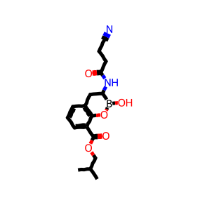 CC(C)COC(=O)c1cccc2c1OB(O)C(NC(=O)CCC#N)C2